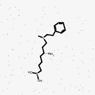 CN(CCc1ccccc1)CC[C@H](N)CCCCB(O)O